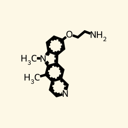 Cc1c2ccncc2cc2c3cc(OCCN)ccc3n(C)c12